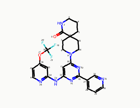 O=C1NCCCC12CCN(c1cc(Nc3cc(OC(F)(F)F)ccn3)nc(-c3cccnc3)n1)CC2